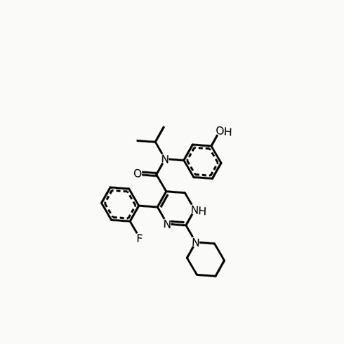 CC(C)N(C(=O)C1=C(c2ccccc2F)N=C(N2CCCCC2)NC1)c1cccc(O)c1